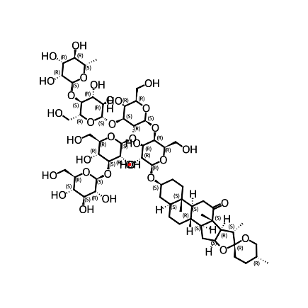 C[C@@H]1CC[C@@]2(OC1)O[C@H]1C[C@H]3[C@@H]4CC[C@H]5C[C@@H](O[C@@H]6O[C@H](CO)[C@H](O[C@@H]7O[C@H](CO)[C@@H](O)[C@H](O[C@@H]8O[C@H](CO)[C@@H](O[C@@H]9O[C@@H](C)[C@H](O)[C@@H](O)[C@H]9O)[C@H](O)[C@H]8O)[C@H]7O[C@@H]7O[C@H](CO)[C@@H](O)[C@H](O[C@@H]8O[C@H](CO)[C@@H](O)[C@H](O)[C@H]8O)[C@H]7O)[C@H](O)[C@H]6O)CC[C@]5(C)[C@H]4CC(=O)[C@]3(C)[C@H]1[C@@H]2C